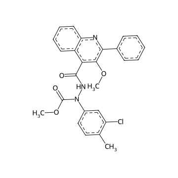 COC(=O)N(NC(=O)c1c(OC)c(-c2ccccc2)nc2ccccc12)c1ccc(C)c(Cl)c1